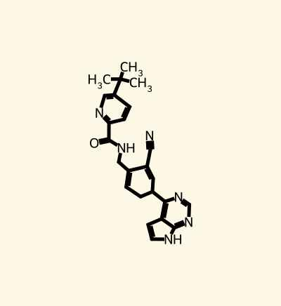 CC(C)(C)c1ccc(C(=O)NCC2=CCC(c3ncnc4[nH]ccc34)C=C2C#N)nc1